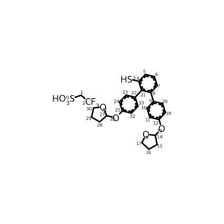 O=S(=O)(O)CC(F)(F)F.Sc1cccc(-c2ccc(OC3CCCO3)cc2)c1-c1ccc(OC2CCCO2)cc1